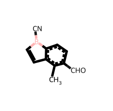 Cc1c(C=O)ccc2c1C=CB2C#N